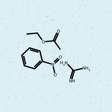 CCOC(C)=O.N=C(N)N.O=[N+]([O-])c1ccccc1